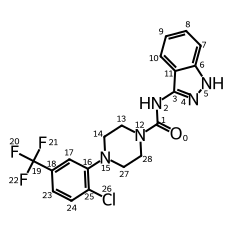 O=C(Nc1n[nH]c2ccccc12)N1CCN(c2cc(C(F)(F)F)ccc2Cl)CC1